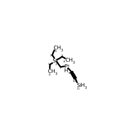 CC[Si](CC)(CC)CPC#C[SiH3]